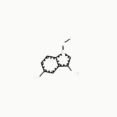 O=Cc1cn(SI)c2ccc(Br)cc12